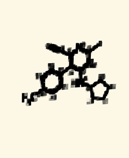 C#Cc1nc(C)nc(NC2CCCC2)c1-c1ccc(C(F)(F)F)cc1